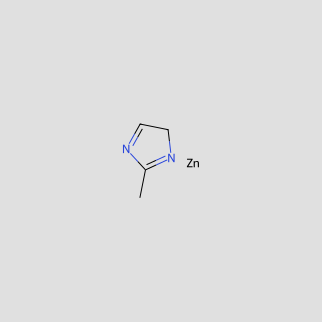 CC1=NCC=N1.[Zn]